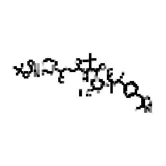 Cc1ncsc1-c1ccc([C@H](C)NC(=O)[C@@H]2C[C@@H](O)CN2C(=O)[C@@H](NC(=O)CCC(=O)N2CCC[C@@H](NC(=O)OC(C)(C)C)C2)C(C)(C)C)cc1